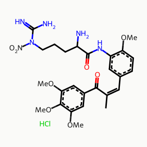 COc1ccc(C=C(C)C(=O)c2cc(OC)c(OC)c(OC)c2)cc1NC(=O)C(N)CCCN(C(=N)N)[N+](=O)[O-].Cl